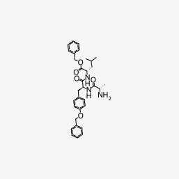 CC(C)C[C@H](NC(=O)[C@H](Cc1ccc(OCc2ccccc2)cc1)NC(=O)[C@H](C)N)C(=O)OCc1ccccc1